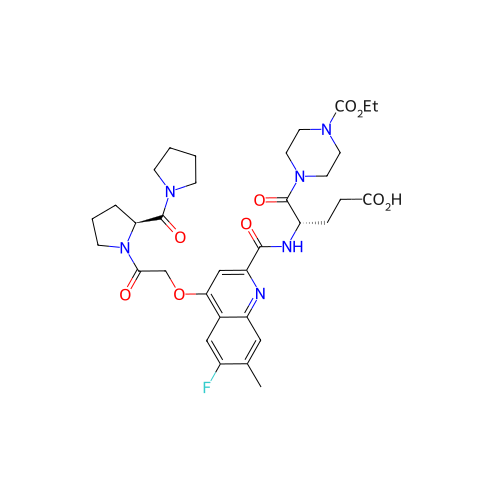 CCOC(=O)N1CCN(C(=O)[C@H](CCC(=O)O)NC(=O)c2cc(OCC(=O)N3CCC[C@H]3C(=O)N3CCCC3)c3cc(F)c(C)cc3n2)CC1